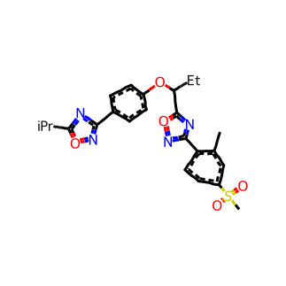 CCC(Oc1ccc(-c2noc(C(C)C)n2)cc1)c1nc(-c2ccc(S(C)(=O)=O)cc2C)no1